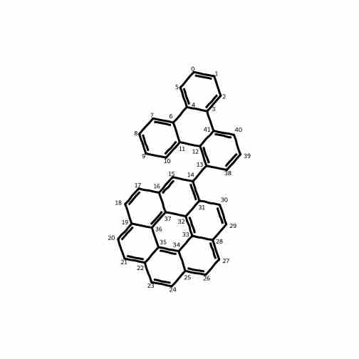 c1ccc2c(c1)c1ccccc1c1c(-c3cc4ccc5ccc6ccc7ccc8ccc3c3c8c7c6c5c43)cccc21